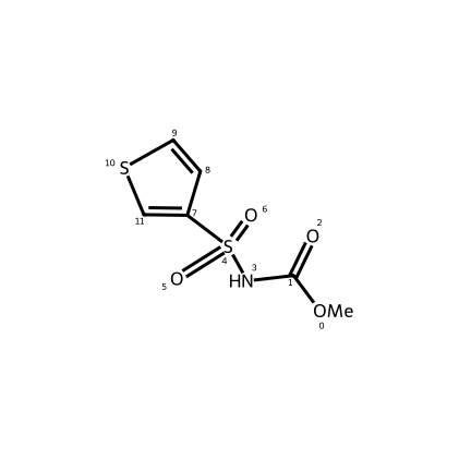 COC(=O)NS(=O)(=O)c1ccsc1